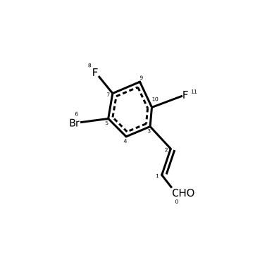 O=C/C=C/c1cc(Br)c(F)cc1F